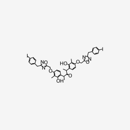 Cc1c(OCc2nc(Cc3ccc(I)cc3)no2)ccc(C(C)C(=O)C(C)c2ccc(OCc3nc(Cc4ccc(I)cc4)no3)c(C)c2O)c1O